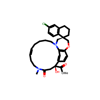 COC(=O)[C@]1(O)CC(=O)N(C)CCC=CCCCCN2C[C@@]3(CCCc4cc(Cl)ccc43)COc3ccc1cc32